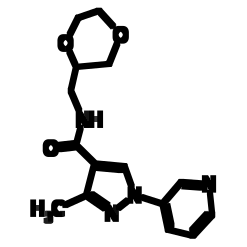 Cc1nn(-c2cccnc2)cc1C(=O)NCC1COCCO1